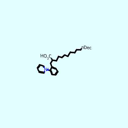 CCCCCCCCCCCCCCCCCCCC(Cc1ccccc1-[n+]1ccccc1)C(=O)O